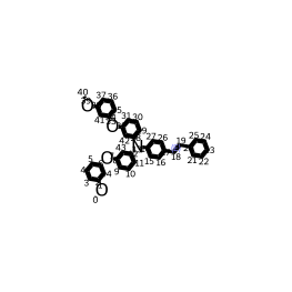 COc1cccc(Oc2cccc(N(c3ccc(/C=C/c4ccccc4)cc3)c3cccc(Oc4cccc(OC)c4)c3)c2)c1